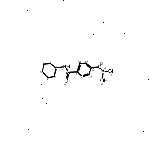 O=C(NC1CCCCC1)c1ccc(OB(O)O)cc1